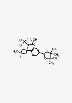 CC(C)(C)N(C(=O)O)[C@]1(c2ccc(B3OC(C)(C)C(C)(C)O3)cc2)C[C@](C)(F)C1